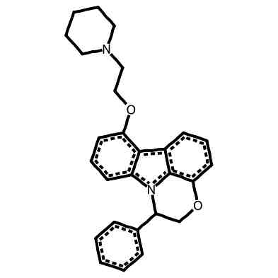 c1ccc(C2COc3cccc4c5c(OCCN6CCCCC6)cccc5n2c34)cc1